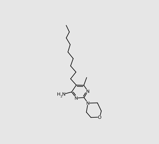 CCCCCCCCCc1c(C)nc(N2CCOCC2)nc1N